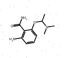 CC(Oc1cccc(N)c1C(N)=O)N(C)C